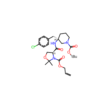 C=CCOC(=O)N1[C@H](C(=O)N[C@@]2(Cc3ccc(Cl)cc3)CCCN(C(=O)OC(C)(C)C)C2)COC1(C)C